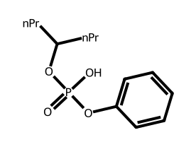 CCCC(CCC)OP(=O)(O)Oc1ccccc1